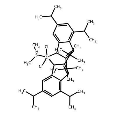 CC(C)c1cc(C(C)C)c2c(c1)[CH]([Zr]([Cl])([Cl])([CH]1C(C(C)(C)C)=Cc3c(C(C)C)cc(C(C)C)cc31)[SiH](C)C)C(C(C)(C)C)=C2